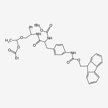 CCC(=O)OC(C)OCC(NC(=O)C(Cc1ccc(NC(=O)OCC2c3ccccc3-c3ccccc32)cc1)NC(=O)OC(C)(C)C)C(C)C